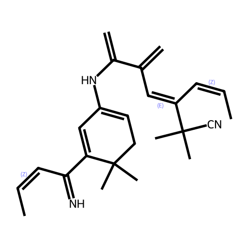 C=C(/C=C(\C=C/C)C(C)(C)C#N)C(=C)NC1=CCC(C)(C)C(C(=N)/C=C\C)=C1